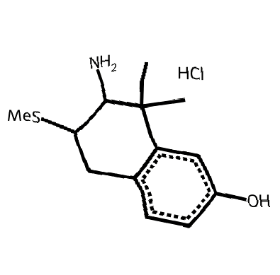 CSC1Cc2ccc(O)cc2C(C)(C)C1N.Cl